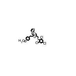 COc1ccc(CCC2(Cn3ccnc3)OCC(CSc3c(Cl)cc(Cl)cc3Cl)O2)cc1